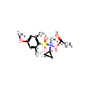 COc1cc(C)c(S(=O)(=O)[N+](C)(OC(C)=O)C2CC2)c(C)c1